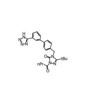 CCCC(=O)n1nc(C(C)(C)C)n(Cc2ccc(-c3cccc(-c4nnn[nH]4)c3)cc2)c1=O